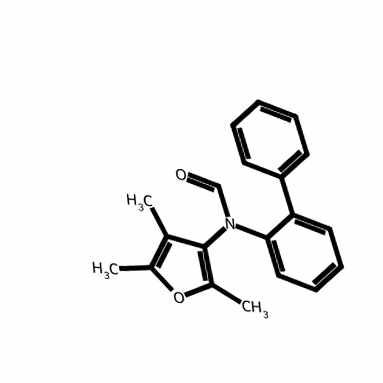 Cc1oc(C)c(N(C=O)c2ccccc2-c2ccccc2)c1C